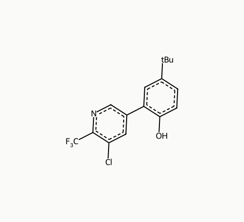 CC(C)(C)c1ccc(O)c(-c2cnc(C(F)(F)F)c(Cl)c2)c1